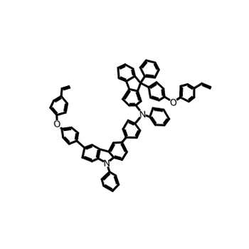 C=Cc1ccc(Oc2ccc(-c3ccc4c(c3)c3cc(-c5ccc(N(c6ccccc6)c6ccc7c(c6)C(c6ccccc6)(c6ccc(Oc8ccc(C=C)cc8)cc6)c6ccccc6-7)cc5)ccc3n4-c3ccccc3)cc2)cc1